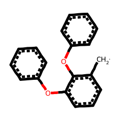 [CH2]c1cccc(Oc2ccccc2)c1Oc1ccccc1